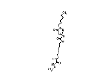 CCCCCCn1ccc(NC(=O)NCCCCCCNC(=O)NCC)nc1=O